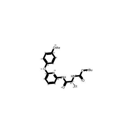 CC[C@@H](NC(=O)OC(C)(C)C)C(=O)Nc1cccc(Oc2ccc(OC)cc2)n1